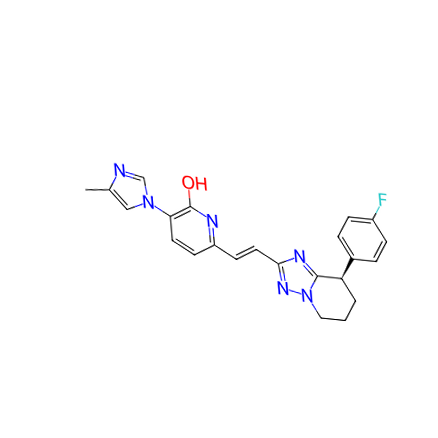 Cc1cn(-c2ccc(/C=C/c3nc4n(n3)CCC[C@@H]4c3ccc(F)cc3)nc2O)cn1